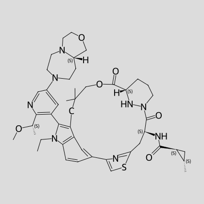 CCn1c(-c2cc(N3CC[C@H]4COCCN4CC3)cnc2[C@H](C)OC)c2c3cc(ccc31)-c1csc(n1)C[C@H](NC(=O)[C@H]1C[C@@H]1C)C(=O)N1CCC[C@H](N1)C(=O)OCC(C)(C)C2